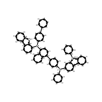 c1ccc(-c2ccc(N(c3ccc(-c4ccc(N(c5ccccc5)c5ccc6c7ccccc7n(-c7ccccc7)c6c5)cc4)c4ccccc34)c3cccc4c3oc3ccccc34)cc2)cc1